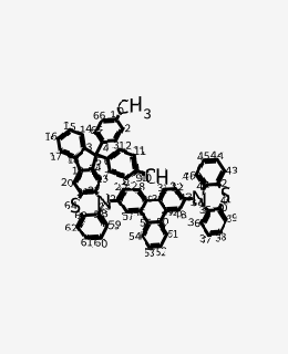 Cc1ccc(C2(c3ccc(C)cc3)c3ccccc3-c3cc4c(cc32)N(c2ccc3c5ccc(N6c7ccccc7Sc7ccccc76)cc5c5ccccc5c3c2)c2ccccc2S4)cc1